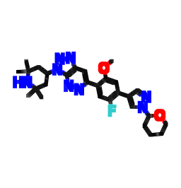 COc1cc(-c2cnn(C3CCCCO3)c2)c(F)cc1-c1cc2nnn(C3CC(C)(C)NC(C)(C)C3)c2nn1